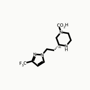 O=C(O)N1CCN[C@H](CCn2ccc(C(F)(F)F)n2)C1